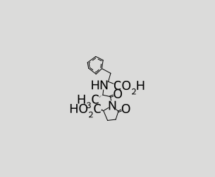 C[C@H](NC(Cc1ccccc1)C(=O)O)C(=O)N1C(=O)CC[C@H]1C(=O)O